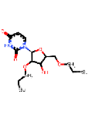 CC(C)(C)C[SiH2]OC[C@@H]1O[C@H](n2ccc(=O)[nH]c2=O)C(O[SiH2]CC(C)(C)C)C1O